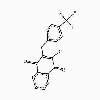 O=C1C(Cl)=C(Cc2ccc(C(F)(F)F)cc2)C(=O)c2ccccc21